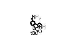 CC(C)(C)C(=O)OC1NCCC1c1cc(CN)ccc1Br